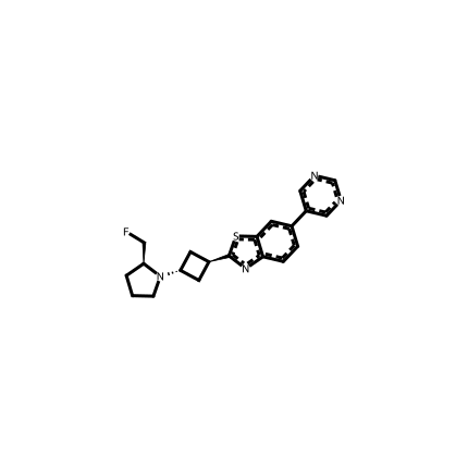 FC[C@@H]1CCCN1[C@H]1C[C@H](c2nc3ccc(-c4cncnc4)cc3s2)C1